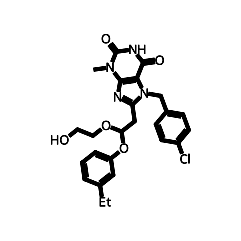 CCc1cccc(OC(Cc2nc3c(c(=O)[nH]c(=O)n3C)n2Cc2ccc(Cl)cc2)OCCO)c1